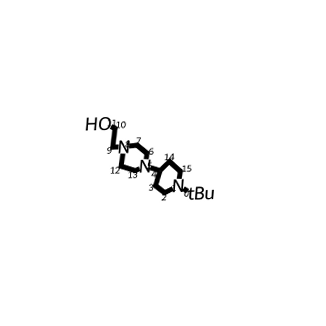 CC(C)(C)N1CCC(N2CCN(CCO)CC2)CC1